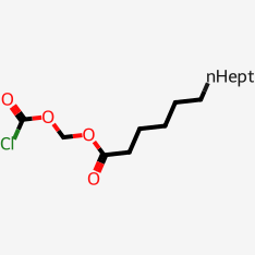 CCCCCCCCCCCCC(=O)OCOC(=O)Cl